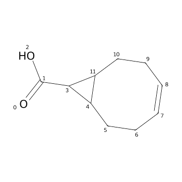 O=C(O)C1C2CCC=CCCC21